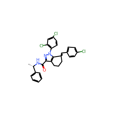 C[C@H](NC(=O)c1nn(-c2ccc(Cl)cc2Cl)c2c1CCC/C2=C\c1ccc(Cl)cc1)c1ccccc1